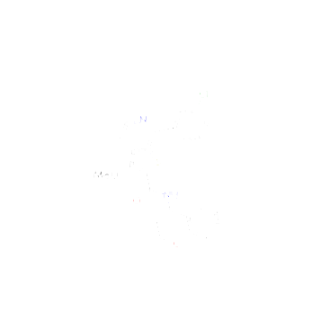 COc1c(C(=O)NC2CCOc3ccccc32)sc2c(-c3cccc(Cl)c3)nccc12